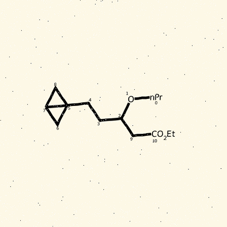 CCCOC(CCC12CC1C2)CC(=O)OCC